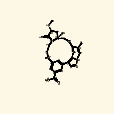 CO[C@@H]1C[C@H]2COc3nc4c(cnn4cc3C)-c3cc(cc(C(=O)O)c3)NCCN2C1=O